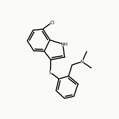 CN(C)Cc1ccccc1Sc1c[nH]c2c(Cl)cccc12